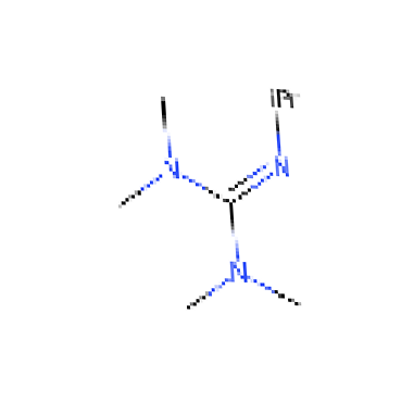 CC(C)N=C(N(C)C)N(C)C